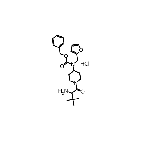 CC(C)(C)C(N)C(=O)N1CCC(N(Cc2ccco2)C(=O)OCc2ccccc2)CC1.Cl